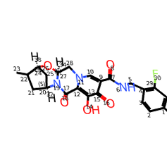 Cc1ccc(CNC(=O)c2cn3c(c(O)c2=O)C(=O)N2[C@H]4CC(C)[C@H](C4)O[C@H]2C3)c(F)c1